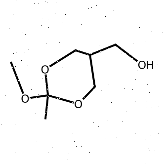 COC1(C)OCC(CO)CO1